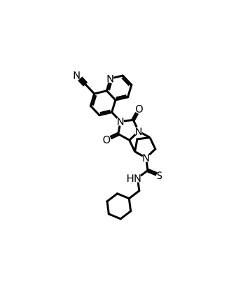 N#Cc1ccc(N2C(=O)C3C4CC(CN4C(=S)NCC4CCCCC4)N3C2=O)c2cccnc12